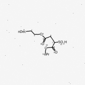 CCCCCCCCCCCCOC(=O)CC(C(=O)OCCC)S(=O)(=O)O